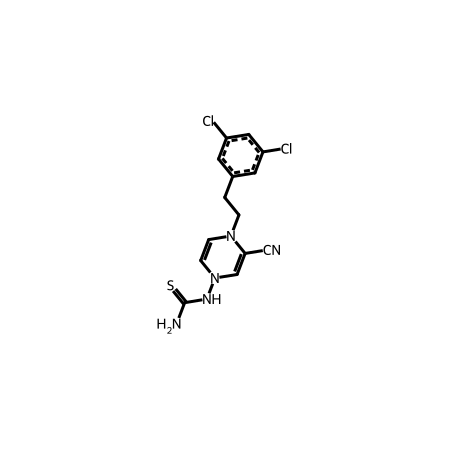 N#CC1=CN(NC(N)=S)C=CN1CCc1cc(Cl)cc(Cl)c1